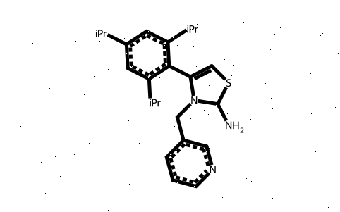 CC(C)c1cc(C(C)C)c(C2=CSC(N)N2Cc2cccnc2)c(C(C)C)c1